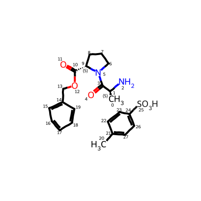 C[C@H](N)C(=O)N1CCC[C@H]1C(=O)OCc1ccccc1.Cc1ccc(S(=O)(=O)O)cc1